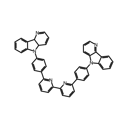 C1=CC2C(N=C1)c1ccccc1N2c1ccc(-c2cccc(-c3cccc(-c4ccc(-n5c6ccccc6c6ncccc65)cc4)n3)n2)cc1